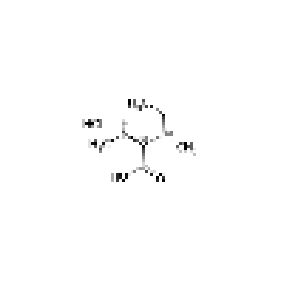 CC[C@H](C)[C@H](NC)C(=O)O.Cl